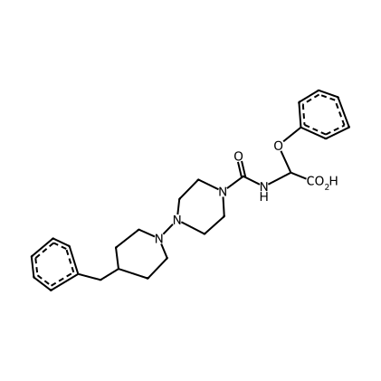 O=C(O)C(NC(=O)N1CCN(N2CCC(Cc3ccccc3)CC2)CC1)Oc1ccccc1